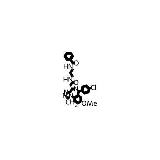 COc1ccc2c(c1)C(c1ccc(Cl)cc1)=N[C@@H](CC(=O)NCCCNC(=O)c1ccccc1)c1nnc(C)n1-2